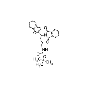 CC(C)(C)OC(=O)NCCCC(c1nc2ccccc2o1)N1C(=O)c2ccccc2C1=O